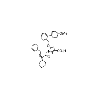 COc1ccc(-c2ccccc2COc2cc(C(=O)O)nn2CC(=O)N(OCc2ccccc2)C2CCCCC2)cc1